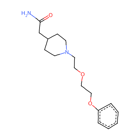 NC(=O)CC1CCN(CCOCCOc2ccccc2)CC1